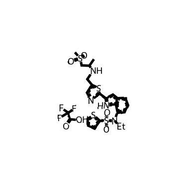 CCN(c1cccc2cc(-c3ncc(CNC(C)CS(C)(=O)=O)s3)[nH]c12)S(=O)(=O)c1cccs1.O=C(O)C(F)(F)F